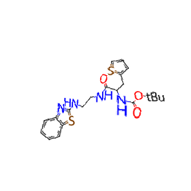 CC(C)(C)OC(=O)NC(Cc1cccs1)C(=O)NCCNc1nc2ccccc2s1